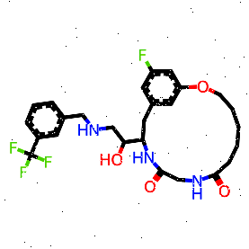 O=C1CCCCCOc2cc(F)cc(c2)CC(C(O)CNCc2cccc(C(F)(F)F)c2)NC(=O)CN1